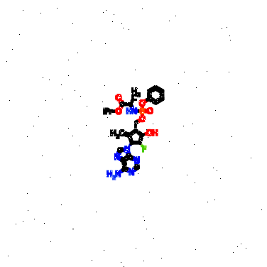 C=C1[C@@H](n2cnc3c(N)ncnc32)[C@@H](F)[C@H](O)[C@H]1COP(=O)(N[C@H](C)C(=O)OC(C)C)Oc1ccccc1